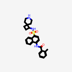 Cc1ccccc1C(=O)Nc1ccc(S(=O)(=O)NC2CCC23CCNCC3)c2ccccc12